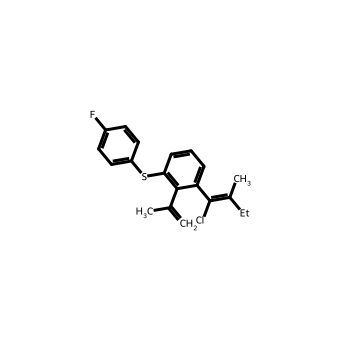 C=C(C)c1c(Sc2ccc(F)cc2)cccc1/C(Cl)=C(\C)CC